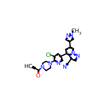 C#CC(=O)N1CCN(c2ncc(-c3cc(-c4cnn(C)c4)cn4ncc(C#N)c34)cc2Cl)CC1